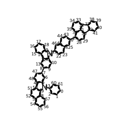 c1ccc(-n2c3cc(-c4ccc5c(c4)c4ccccc4n5-c4ccc5cc(-c6ccc7c8c(cccc68)-c6ccccc6-7)ccc5c4)ccc3c3ccc4ccccc4c32)cc1